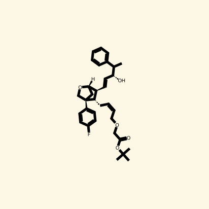 CC(c1ccccc1)[C@H](O)/C=C/[C@@H]1[C@@H]2C[C@@](c3ccc(F)cc3)(CO2)[C@H]1C/C=C\COCC(=O)OC(C)(C)C